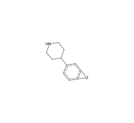 c1cc2c(cc1C1CCNCC1)O2